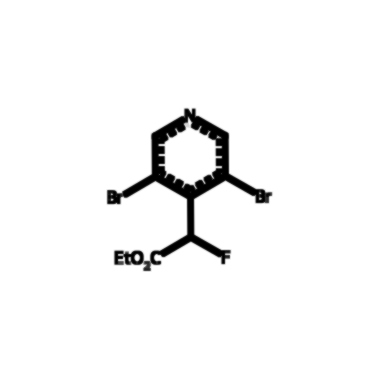 CCOC(=O)C(F)c1c(Br)cncc1Br